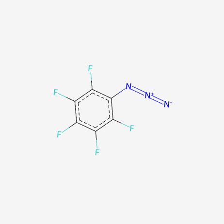 [N-]=[N+]=Nc1c(F)c(F)c(F)c(F)c1F